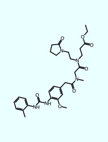 CCOC(=O)CCN(CCN1CCCC1=O)C(=O)CN(C)C(=O)Cc1ccc(NC(=O)Nc2ccccc2C)c(OC)c1